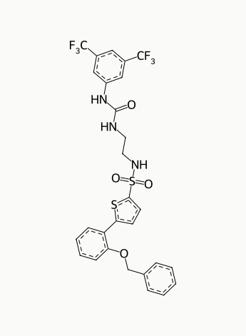 O=C(NCCNS(=O)(=O)c1ccc(-c2ccccc2OCc2ccccc2)s1)Nc1cc(C(F)(F)F)cc(C(F)(F)F)c1